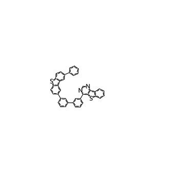 c1ccc(-c2ccc3sc4ccc(-c5cccc(-c6cccc(-c7ncnc8c7sc7ccccc78)c6)c5)cc4c3c2)cc1